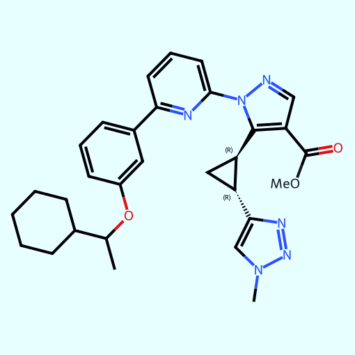 COC(=O)c1cnn(-c2cccc(-c3cccc(OC(C)C4CCCCC4)c3)n2)c1[C@@H]1C[C@H]1c1cn(C)nn1